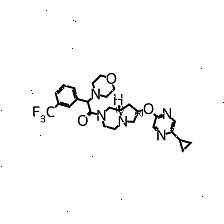 O=C(C(c1cccc(C(F)(F)F)c1)N1CCOCC1)N1CCN2C[C@H](Oc3cnc(C4CC4)cn3)C[C@H]2C1